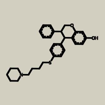 Oc1ccc2c(c1)OCC(c1ccccc1)C2c1ccc(SCCCCN2CCCCC2)cc1